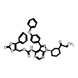 C=CC(=O)C1CCC[C@@H](n2nc(-c3ccc(Oc4ccccc4)cc3)c3c(NC(=O)OCc4oc(=O)oc4-c4ccccc4)ncnc32)C1